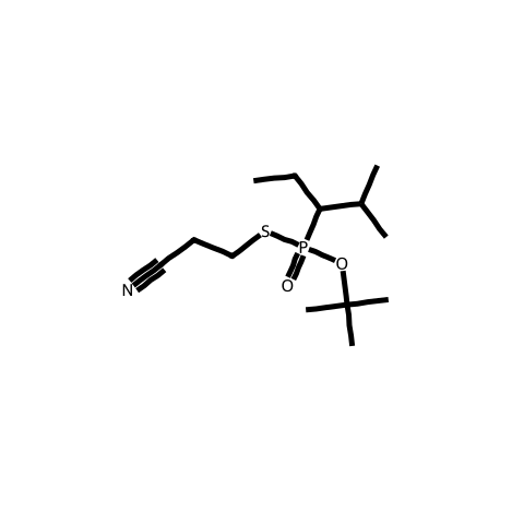 CCC(C(C)C)P(=O)(OC(C)(C)C)SCCC#N